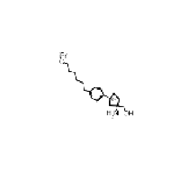 CC(C)OCCCCCCc1ccc([C@H]2CC[C@@](N)(CO)C2)cc1